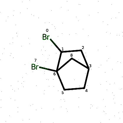 BrC1CC2CCC1(Br)C2